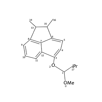 COC(Oc1ccc2c3c(cccc13)C(C)C2C)C(C)C